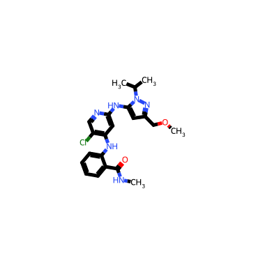 CNC(=O)c1ccccc1Nc1cc(Nc2cc(COC)nn2C(C)C)ncc1Cl